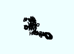 O=C(N[C@@H](Cc1c[nH]c2ccc(OC(=O)OCc3ccccc3)cc12)C(=O)NCC1CC(Br)=NO1)OCc1ccccc1